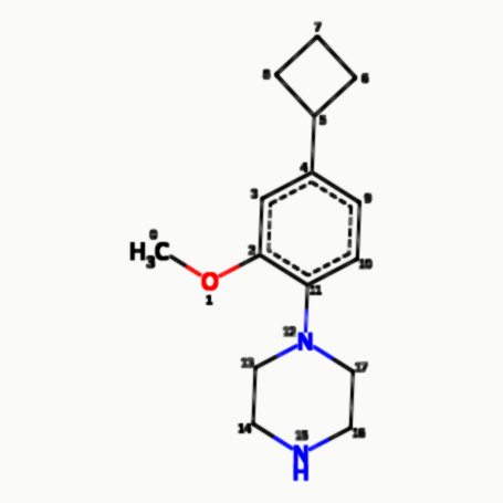 COc1cc(C2CCC2)ccc1N1CCNCC1